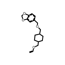 C=COCC1CCC(COCc2ccc3c(c2)OCO3)CC1